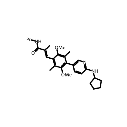 COc1c(C)c(-c2ccc(NC3CCCC3)nc2)c(OC)c(C)c1/C=C(\C)C(=O)NC(C)C